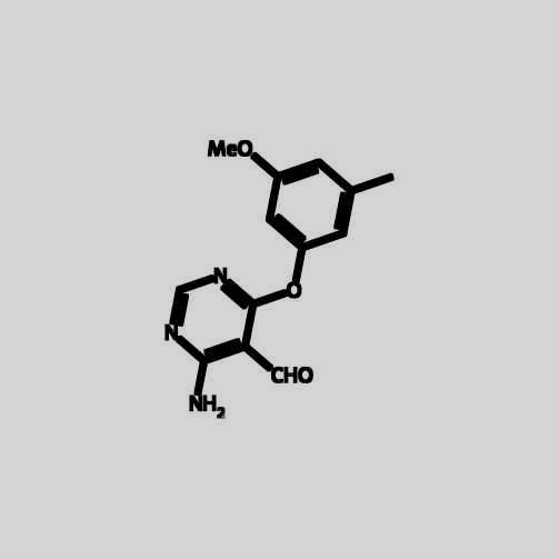 COc1cc(C)cc(Oc2ncnc(N)c2C=O)c1